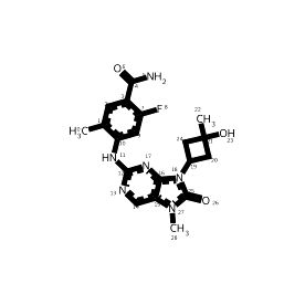 Cc1cc(C(N)=O)c(F)cc1Nc1ncc2c(n1)n(C1CC(C)(O)C1)c(=O)n2C